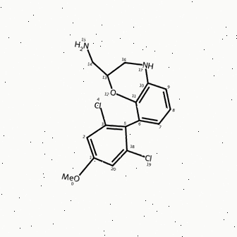 COc1cc(Cl)c(-c2cccc3c2OC(CN)CN3)c(Cl)c1